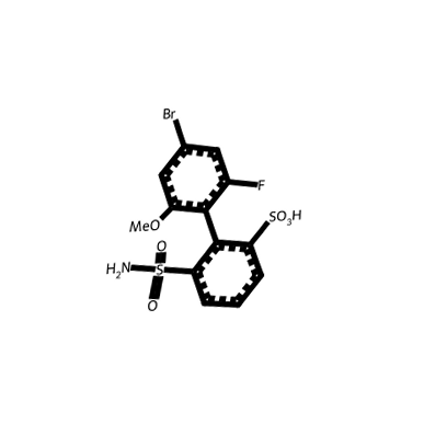 COc1cc(Br)cc(F)c1-c1c(S(N)(=O)=O)cccc1S(=O)(=O)O